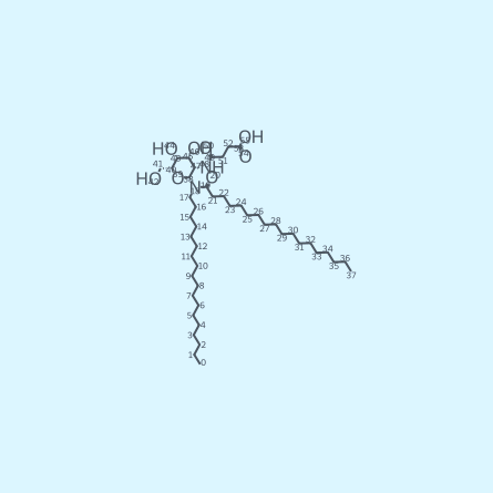 CCCCCCCCCCCCCCCCCCN(C(=O)CCCCCCCCCCCCCCCCC)[C@@H]1O[C@H](CO)[C@H](O)[C@H](O)[C@@H]1NC(=O)CCC(=O)O